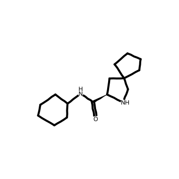 O=C(NC1CCCCC1)[C@H]1CC2(CCCC2)CN1